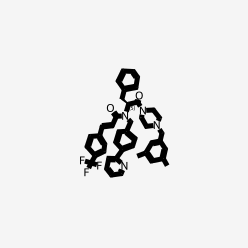 Cc1cc(C)cc(CN2CCN(C(=O)[C@H](Cc3ccccc3)N(Cc3ccc(-c4ccccn4)cc3)C(=O)C=Cc3ccc(C(F)(F)F)cc3)CC2)c1